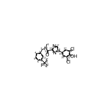 CN(Cc1cccc(C(F)(F)F)c1)C(=O)c1ncn(-c2cc(Cl)c(O)c(Cl)c2)n1